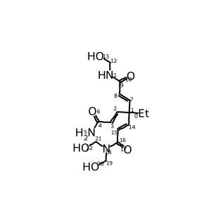 CCC(C=CC(N)=O)(C=CC(=O)NCO)C=CC(=O)N(CO)CO